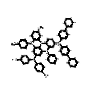 CC(C)(C)c1ccc(N(c2ccc(C(C)(C)C)cc2)c2cc3c4c(c2)N(c2ccccc2)c2cc(N(c5ccc(-c6ccccc6)cc5)c5ccc(-c6ccccc6)cc5)ccc2B4c2cc(C(C)(C)C)ccc2N3c2ccc(C(C)(C)C)cc2)cc1